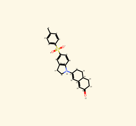 Cc1ccc(S(=O)(=O)c2ccc3c(c2)CCN3C2=CC3=CC(=O)CCC3CC2)cc1